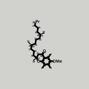 COc1c(C)c(C)c2c(c1C)C(=O)C[C@@](C)(CCC[C@@H](C)CCC[C@H](C)CCCC(C)C)O2